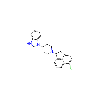 Clc1ccc2c3c(cccc13)C(N1CCC(N3[CH]Nc4ccccc43)CC1)C2